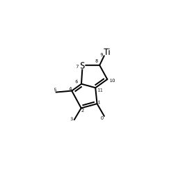 CC1=C(C)C(C)=C2S[CH]([Ti])C=C12